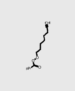 C#CCCCCCCOOC(=O)CCC